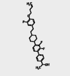 C=CCCOc1ccc(CCC2CCC(c3ccc(-c4ccc(C(C)O)cc4)c(F)c3F)CC2)cc1F